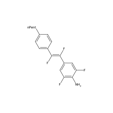 CCCCCc1ccc(/C(F)=C(\F)c2cc(F)c(N)c(F)c2)cc1